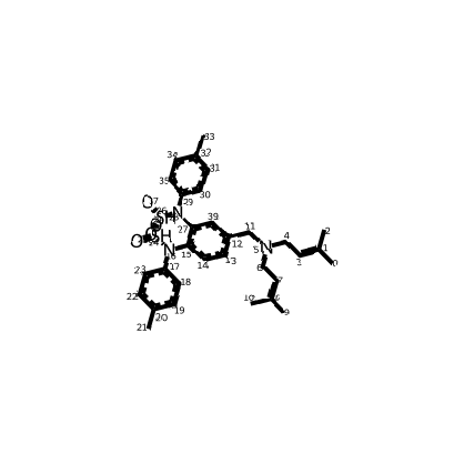 CC(C)=CCN(CC=C(C)C)Cc1ccc(N(c2ccc(C)cc2)[SH](=O)=O)c(N(c2ccc(C)cc2)[SH](=O)=O)c1